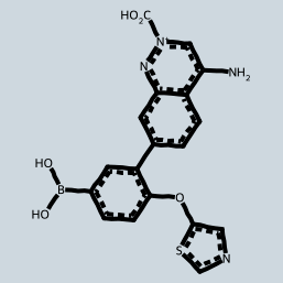 Nc1c[n+](C(=O)O)nc2cc(-c3cc(B(O)O)ccc3Oc3cncs3)ccc12